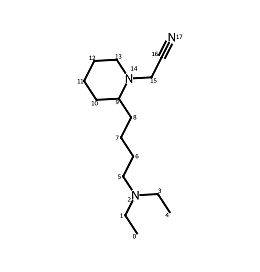 CCN(CC)CCCCC1CCCCN1CC#N